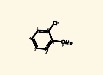 COc1nc[c]cc1Cl